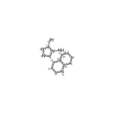 CC(C)c1nncn1N.c1ccc2ncccc2c1